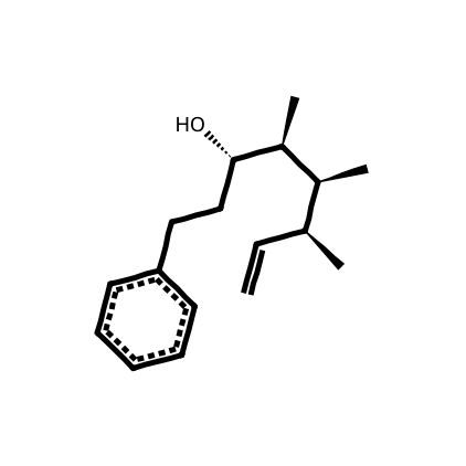 C=C[C@H](C)[C@H](C)[C@H](C)[C@@H](O)CCc1ccccc1